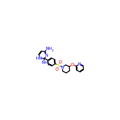 NC1=NC(N)(c2ccc(S(=O)(=O)N3CCCC(Oc4ccccn4)C3)cc2)NC=C1